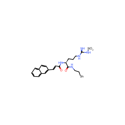 CC(C)CCNC(=O)[C@H](CCCNC(=N)N[N+](=O)[O-])NC(=O)/C=C/c1ccc2ccccc2c1